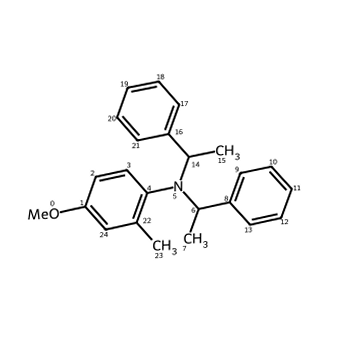 COc1ccc(N(C(C)c2ccccc2)C(C)c2ccccc2)c(C)c1